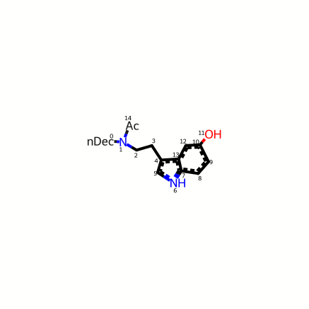 CCCCCCCCCCN(CCc1c[nH]c2ccc(O)cc12)C(C)=O